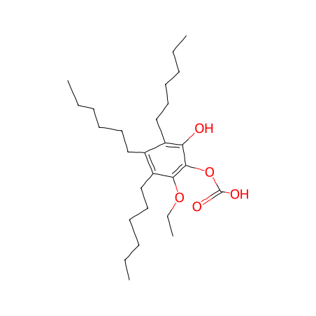 CCCCCCc1c(O)c(OC(=O)O)c(OCC)c(CCCCCC)c1CCCCCC